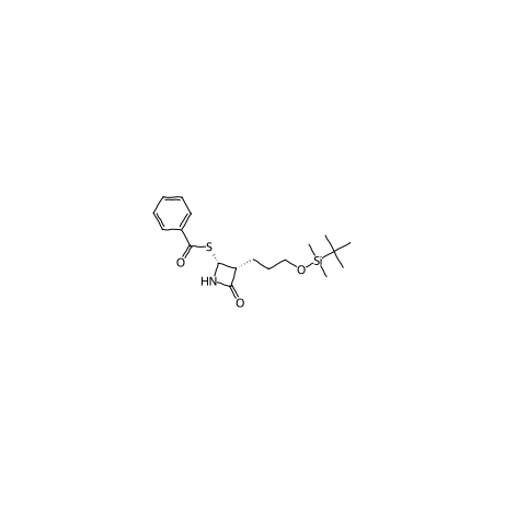 CC(C)(C)[Si](C)(C)OCCC[C@@H]1C(=O)N[C@@H]1SC(=O)c1ccccc1